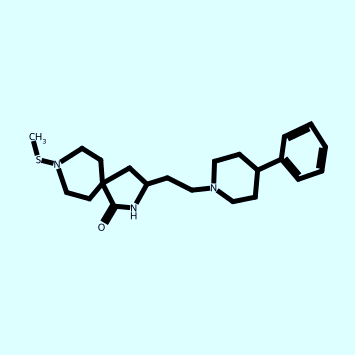 CSN1CCC2(CC1)CC(CCN1CCC(c3ccccc3)CC1)NC2=O